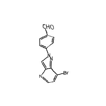 O=Cc1ccc(-n2cc3nccc(Br)c3n2)cc1